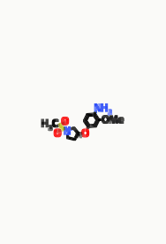 COc1cc(O[C@@H]2CCN(S(C)(=O)=O)C2)ccc1N